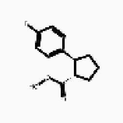 O=C(OO)[C@H]1CCC[C@@H]1c1ccc(F)cc1